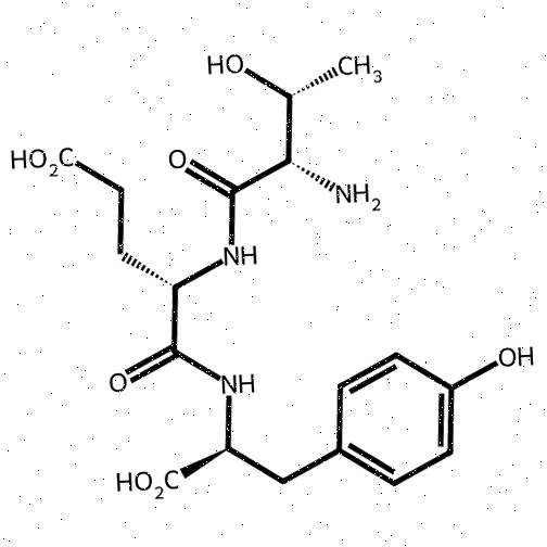 C[C@@H](O)[C@H](N)C(=O)N[C@@H](CCC(=O)O)C(=O)N[C@@H](Cc1ccc(O)cc1)C(=O)O